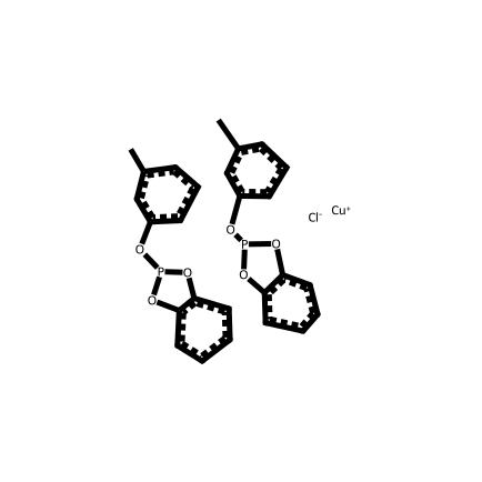 Cc1cccc(OP2Oc3ccccc3O2)c1.Cc1cccc(OP2Oc3ccccc3O2)c1.[Cl-].[Cu+]